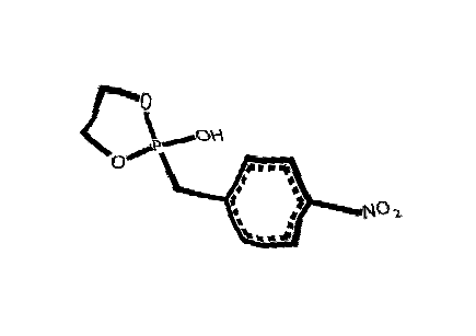 O=[N+]([O-])c1ccc(C[P]2(O)OCCO2)cc1